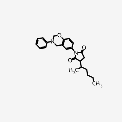 CCCCC(C)C1CC(=O)N(c2ccc3c(c2)CN(c2ccccc2)CO3)C1=O